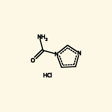 Cl.NC(=O)n1ccnc1